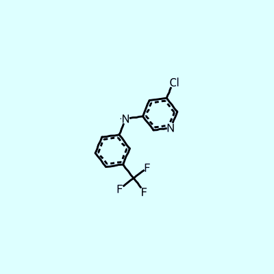 FC(F)(F)c1cccc([N]c2cncc(Cl)c2)c1